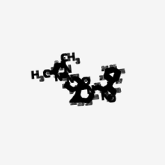 Cc1cc(C)nc(N2CCC3(CC2)C(=O)N(Cc2nocc2-c2ccccc2)CCC2CC23)n1